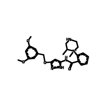 COc1cc(COc2cc(NC(=O)c3ccccc3[N+]3(C)CCNCC3C)[nH]n2)cc(OC)c1